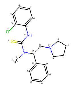 CN(C(=S)Nc1ccccc1Cl)[C@H](CN1CCCC1)c1ccccc1